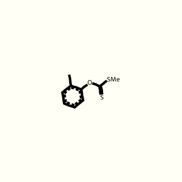 CSC(=S)Oc1ccccc1C